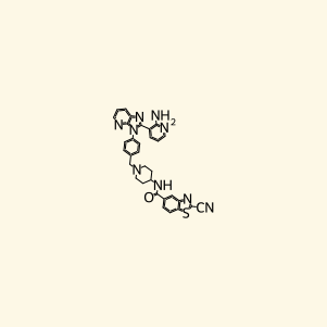 N#Cc1nc2cc(C(=O)NC3CCN(Cc4ccc(-n5c(-c6cccnc6N)nc6cccnc65)cc4)CC3)ccc2s1